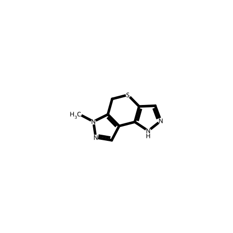 Cn1ncc2c1CSc1cn[nH]c1-2